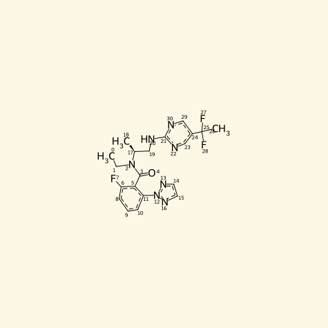 CCN(C(=O)c1c(F)cccc1-n1nccn1)[C@@H](C)CNc1ncc(C(C)(F)F)cn1